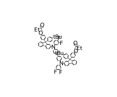 CCC1(COc2ccc(C3(c4ccc(C(C)(C)C)cc4)c4ccccc4-c4ccc(N(c5ccc(-c6ccc(N(c7ccc(F)c(F)c7)c7ccc8c(c7)C(c7ccc(OCC9(CC)COC9)cc7)(c7ccc(C(C)(C)C)cc7)c7ccccc7-8)cc6)cc5)c5ccc(F)c(F)c5)cc43)cc2)COC1